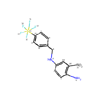 Nc1ccc(NCc2ccc(S(F)(F)(F)(F)F)cc2)cc1[N+](=O)[O-]